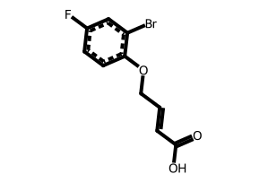 O=C(O)C=CCOc1ccc(F)cc1Br